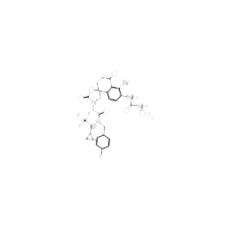 CNC(=O)Nc1ccc2c(c1Br)C(=O)CCC21CN(CC(=O)N(Cc2ccc(F)cc2)[C@@H](C2CC2)C(F)(F)F)C(=O)O1